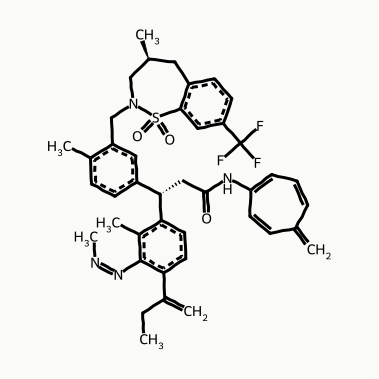 C=C1C=CC=C(NC(=O)C[C@@H](c2ccc(C)c(CN3C[C@@H](C)Cc4ccc(C(F)(F)F)cc4S3(=O)=O)c2)c2ccc(C(=C)CC)c(/N=N\C)c2C)C=C1